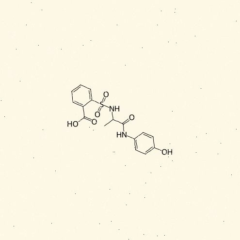 CC(NS(=O)(=O)c1ccccc1C(=O)O)C(=O)Nc1ccc(O)cc1